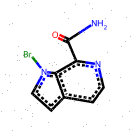 NC(=O)c1nccc2ccn(Br)c12